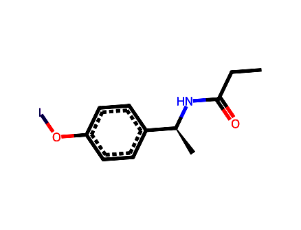 CCC(=O)N[C@@H](C)c1ccc(OI)cc1